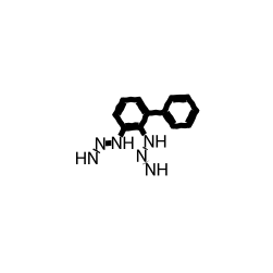 N=NNc1cccc(-c2ccccc2)c1NN=N